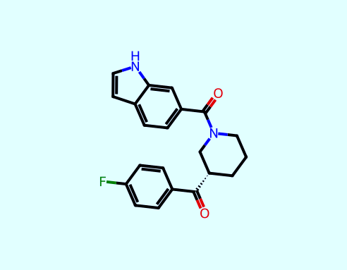 O=C(c1ccc(F)cc1)[C@H]1CCCN(C(=O)c2ccc3cc[nH]c3c2)C1